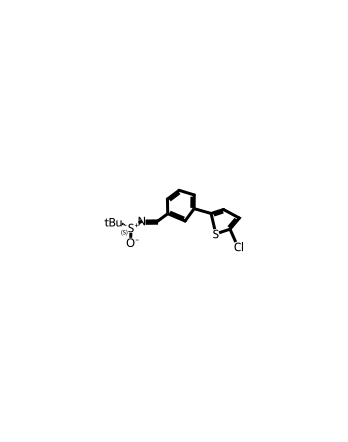 CC(C)(C)[S@@+]([O-])N=Cc1cccc(-c2ccc(Cl)s2)c1